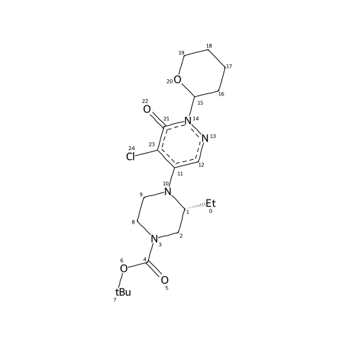 CC[C@@H]1CN(C(=O)OC(C)(C)C)CCN1c1cnn(C2CCCCO2)c(=O)c1Cl